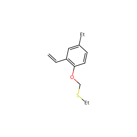 C=Cc1cc(CC)ccc1OCSCC